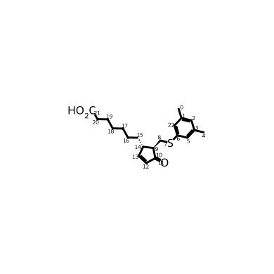 Cc1cc(C)cc(SC[C@H]2C(=O)C=C[C@@H]2CCCCCCC(=O)O)c1